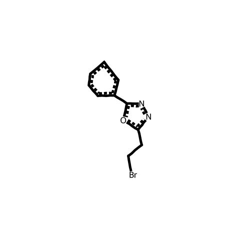 BrCCc1nnc(-c2ccccc2)o1